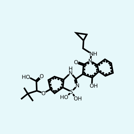 CC(C)(C)C(Oc1ccc2c(c1)S(O)(O)N=C(c1c(O)c3ccccc3n(NCC3CC3)c1=O)N2)C(=O)O